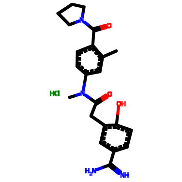 Cc1cc(N(C)C(=O)Cc2cc(C(=N)N)ccc2O)ccc1C(=O)N1CCCC1.Cl